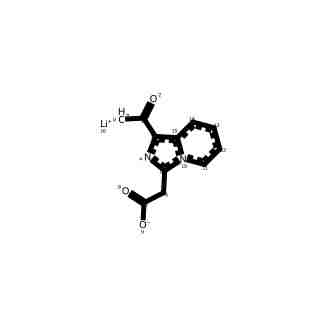 CC(=O)c1nc(CC(=O)[O-])n2ccccc12.[Li+]